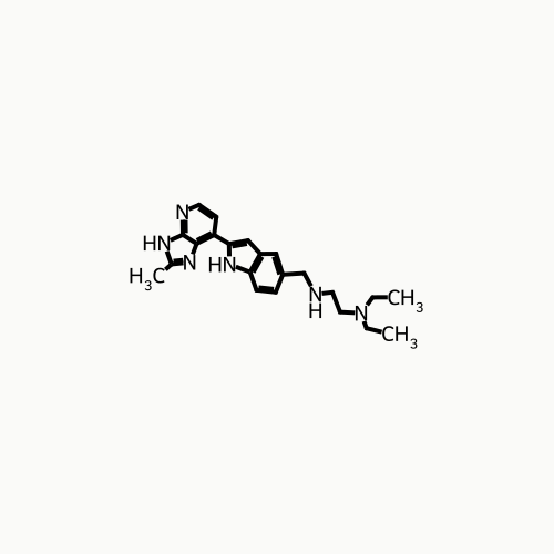 CCN(CC)CCNCc1ccc2[nH]c(-c3ccnc4[nH]c(C)nc34)cc2c1